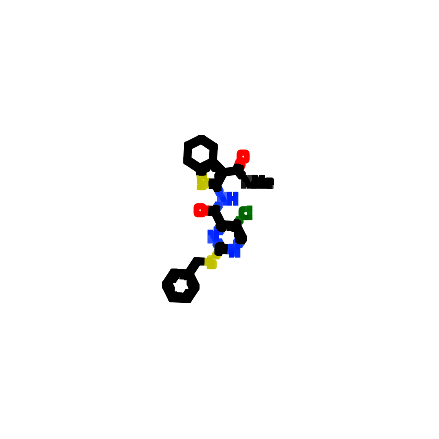 CNC(=O)c1c(NC(=O)c2nc(SCc3ccccc3)ncc2Cl)sc2c1CCCC2